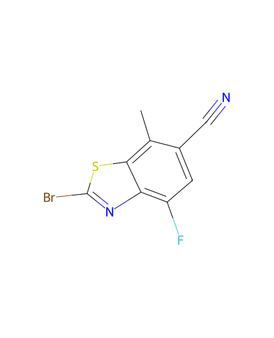 Cc1c(C#N)cc(F)c2nc(Br)sc12